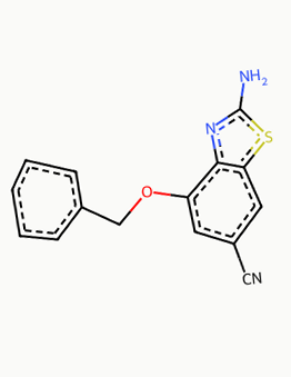 N#Cc1cc(OCc2ccccc2)c2nc(N)sc2c1